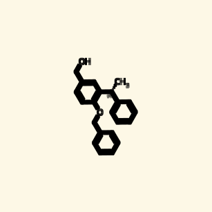 C[C@H](c1ccccc1)c1cc(CO)ccc1OCc1ccccc1